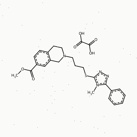 COC(=O)c1ccc2c(c1)CN(CCCSc1nnc(-c3ccccc3)n1C)CC2.O=C(O)C(=O)O